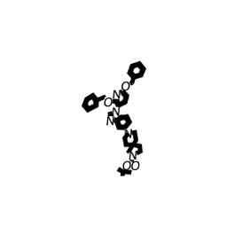 CC(C)(C)OC(=O)N1CCC2(CCN(c3ccc4c(c3)ncn4-c3ccc(OCc4ccccc4)nc3OCc3ccccc3)CC2)C1